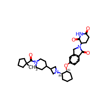 CC1(C(=O)N2CCC(C3CN([C@@H]4CCCC[C@@H]4Oc4ccc5c(c4)CN(C4CCC(=O)NC4=O)C5=O)C3)CC2)CCCC1